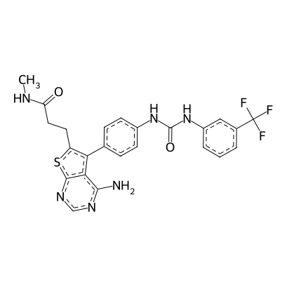 CNC(=O)CCc1sc2ncnc(N)c2c1-c1ccc(NC(=O)Nc2cccc(C(F)(F)F)c2)cc1